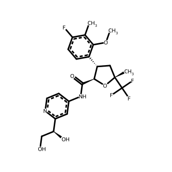 COc1c([C@@H]2C[C@](C)(C(F)(F)F)O[C@H]2C(=O)Nc2ccnc([C@@H](O)CO)c2)ccc(F)c1C